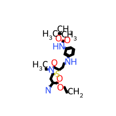 C=CCOC(=O)C(C#N)CC1SC(CCNc2cccc(NC(=O)OC(C)(C)C)c2)C(=O)N1CC